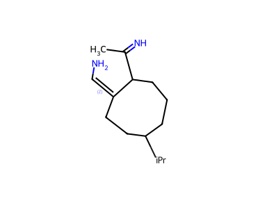 CC(=N)C1CCCC(C(C)C)CC/C1=C/N